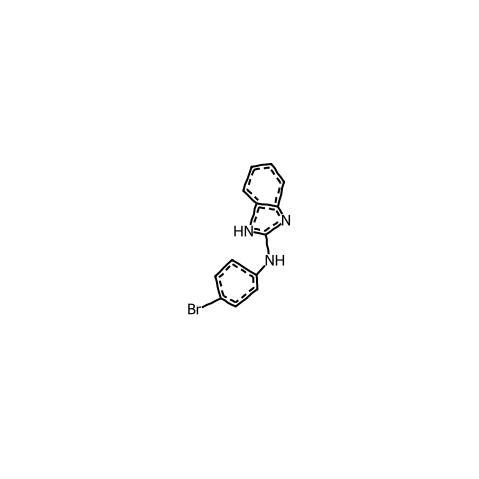 Brc1ccc(Nc2nc3ccccc3[nH]2)cc1